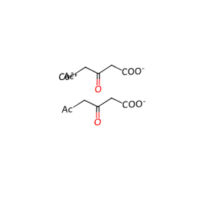 CC(=O)CC(=O)CC(=O)[O-].CC(=O)CC(=O)CC(=O)[O-].[Co+2]